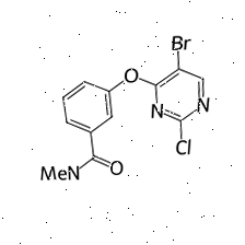 CNC(=O)c1cccc(Oc2nc(Cl)ncc2Br)c1